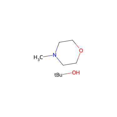 CC(C)(C)O.CN1CCOCC1